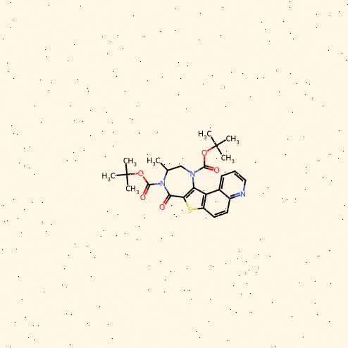 CC1CN(C(=O)OC(C)(C)C)c2c(sc3ccc4ncccc4c23)C(=O)N1C(=O)OC(C)(C)C